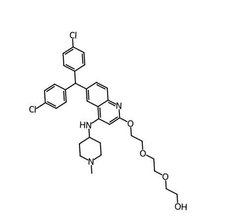 CN1CCC(Nc2cc(OCCOCCOCCO)nc3ccc(C(c4ccc(Cl)cc4)c4ccc(Cl)cc4)cc23)CC1